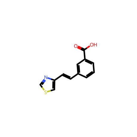 O=C(O)c1cccc(C=Cc2cscn2)c1